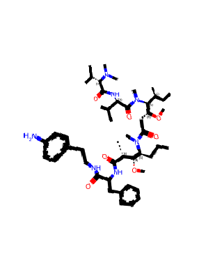 CCC[C@@H]([C@H](OC)[C@@H](C)C(=O)NC(Cc1ccccc1)C(=O)NCCc1ccc(N)cc1)N(C)C(=O)C[C@@H](OC)[C@H]([C@@H](C)CC)N(C)C(=O)[C@@H](NC(=O)[C@H](C(C)C)N(C)C)C(C)C